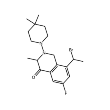 CC(Br)c1cc(F)cc2c1CN(N1CCC(C)(C)CC1)C(C)C2=O